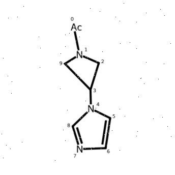 CC(=O)N1CC(n2ccnc2)C1